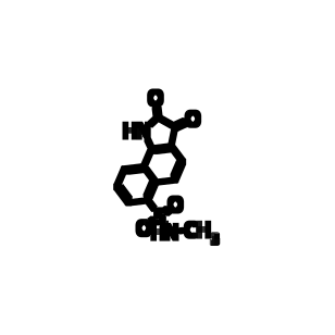 CNS(=O)(=O)c1cccc2c3c(ccc12)C(=O)C(=O)N3